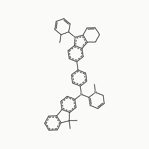 CC1C=CC=CC1n1c2c(c3cc(-c4ccc(N(C5=CC=CCN5C)c5ccc6c(c5)C(C)(C)c5ccccc5-6)cc4)ccc31)CCC=C2